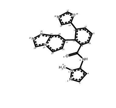 Cn1nccc1NC(=O)c1cccc(-c2cnco2)c1-c1ccn2cnnc2c1